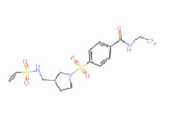 C=CS(=O)(=O)NCC1CCN(S(=O)(=O)c2ccc(C(=O)NCC(F)(F)F)cc2)C1